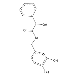 O=C(NCc1ccc(O)c(O)c1)C(O)c1ccccc1